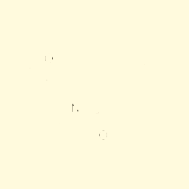 CCN(CC1(C)CO1)C(=O)c1ccc(C)cc1